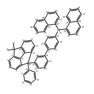 CC1(C)c2cccc3c2-c2c1cccc2C3(c1ccccc1)c1cccc(-c2ccc(N(c3cccc4ccccc34)c3cccc4ccccc34)cc2)c1